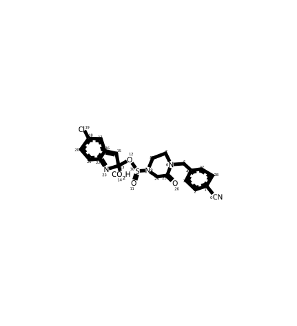 N#Cc1ccc(CN2CCN(S(=O)OC3(C(=O)O)C=c4cc(Cl)ccc4=N3)CC2=O)cc1